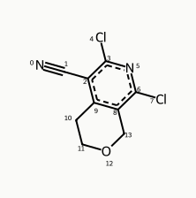 N#Cc1c(Cl)nc(Cl)c2c1CCOC2